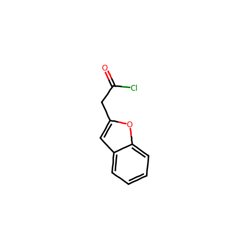 O=C(Cl)Cc1cc2ccccc2o1